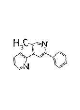 Cc1cnc(-c2ccccc2)cc1-c1ccccn1